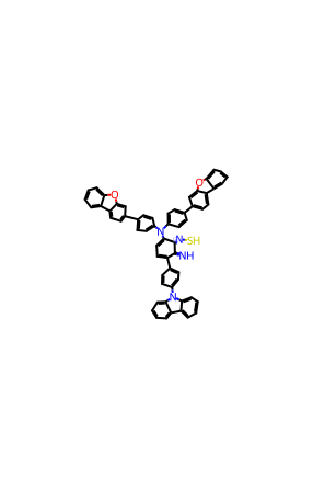 N=C1C(c2ccc(-n3c4ccccc4c4ccccc43)cc2)=CC=C(N(c2ccc(-c3ccc4c(c3)oc3ccccc34)cc2)c2ccc(-c3ccc4c(c3)oc3ccccc34)cc2)/C1=N/S